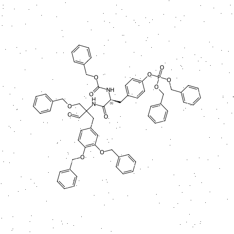 O=CC(COCc1ccccc1)(Cc1ccc(OCc2ccccc2)c(OCc2ccccc2)c1)NC(=O)[C@H](Cc1ccc(OP(=O)(OCc2ccccc2)OCc2ccccc2)cc1)NC(=O)OCc1ccccc1